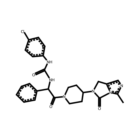 Cc1ncc2n1C(=O)N(C1CCN(C(=O)C(NC(=O)Nc3ccc(Cl)cc3)c3ccccc3)CC1)C2